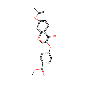 C=C(C)Oc1ccc2c(=O)c(Oc3ccc(C(=O)OC)cc3)coc2c1